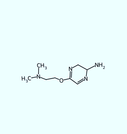 CN(C)CCOC1=NCC(N)N=C1